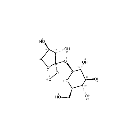 OC[C@H]1O[C@@H](O[C@@]2(CO)OC[C@@H](O)[C@@H]2O)[C@H](O)[C@@H](O)[C@@H]1O